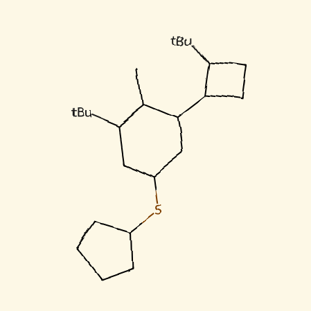 CC1C(C2CCC2C(C)(C)C)CC(SC2CCCC2)CC1C(C)(C)C